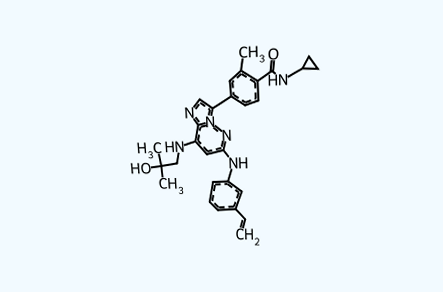 C=Cc1cccc(Nc2cc(NCC(C)(C)O)c3ncc(-c4ccc(C(=O)NC5CC5)c(C)c4)n3n2)c1